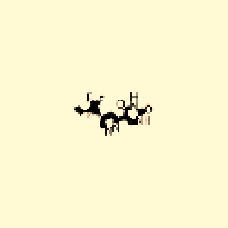 C=C[C@@H]1[C@@H](c2cnnc(-c3c[nH]c(=O)[nH]c3=O)c2)C1(F)F